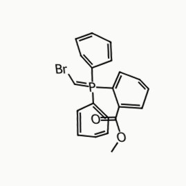 COC(=O)c1ccccc1P(=CBr)(c1ccccc1)c1ccccc1